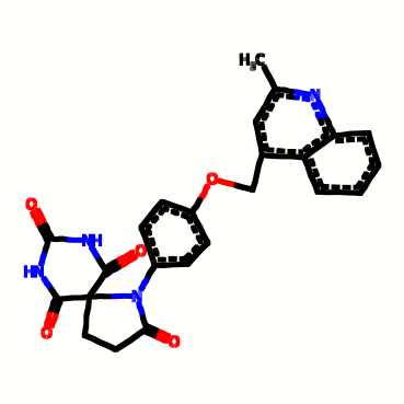 Cc1cc(COc2ccc(N3C(=O)CCC34C(=O)NC(=O)NC4=O)cc2)c2ccccc2n1